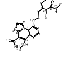 CCC(CCOC1=CC=CC2C(NC)=C(C(N)=O)c3nccn3C12)C(F)C(=O)NC